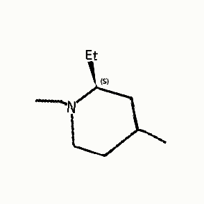 CC[C@H]1CC(C)CCN1C